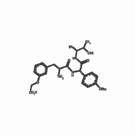 COc1ccc(C(NC(=O)C(N)Cc2cccc(OCC(=O)O)c2)C(=O)NC(C(C)C)C(O)C(F)(F)F)cc1